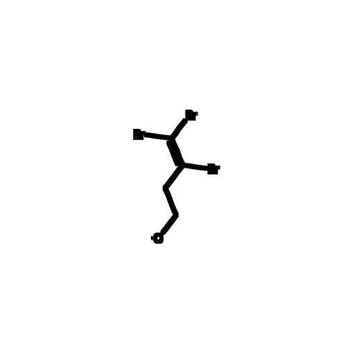 [O]CCC(Br)=C(Br)Br